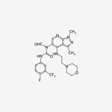 Cc1nn(C)c2ncc(N(C=O)C(=O)Nc3ccc(F)c(C(F)(F)F)c3)c(NCCN3CCOCC3)c12